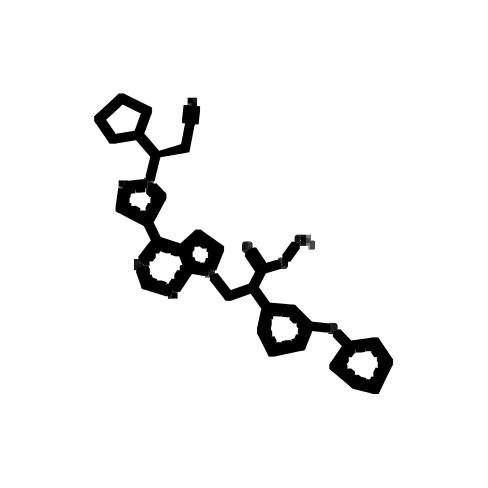 COC(=O)C(Cn1ccc2c(-c3cnn([C@H](CC#N)C4CCCC4)c3)ncnc21)c1cccc(Oc2ccccc2)c1